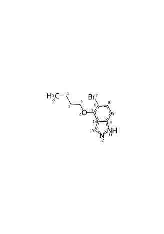 CCCCOc1c(Br)ccc2[nH]ncc12